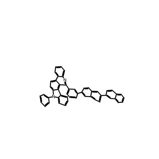 c1ccc(-n2c3ccccc3c3c4c(-c5cccc(-c6ccc7cc(-c8ccc9ccccc9c8)ccc7c6)c5)nc5ccccc5c4ccc32)cc1